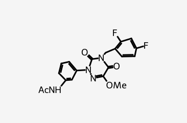 COc1nn(-c2cccc(NC(C)=O)c2)c(=O)n(Cc2ccc(F)cc2F)c1=O